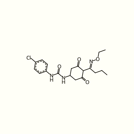 CCCC(=NOCC)C1C(=O)CC(NC(=O)Nc2ccc(Cl)cc2)CC1=O